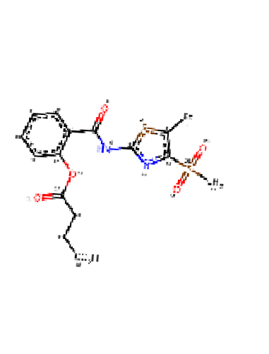 CCc1sc(NC(=O)c2ccccc2OC(=O)CCC(=O)O)nc1S(C)(=O)=O